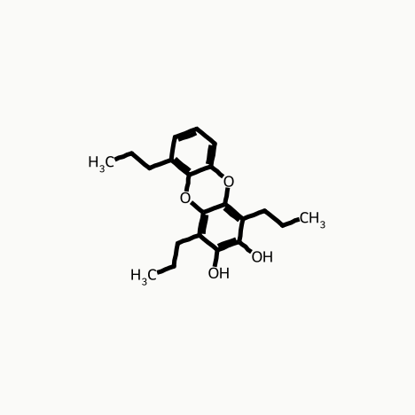 CCCc1cccc2c1Oc1c(CCC)c(O)c(O)c(CCC)c1O2